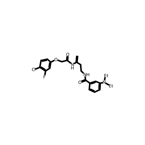 C=C(CCNC(=O)c1cccc(N(CC)CC)c1)NC(=O)COc1ccc(Cl)c(F)c1